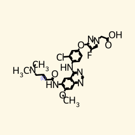 COc1cc2ncnc(Nc3ccc(Oc4nn(CC(=O)O)cc4F)cc3Cl)c2cc1NC(=O)/C=C/CN(C)C